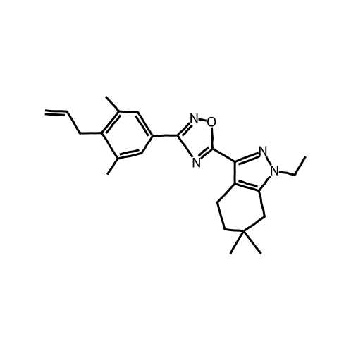 C=CCc1c(C)cc(-c2noc(-c3nn(CC)c4c3CCC(C)(C)C4)n2)cc1C